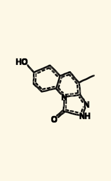 Cc1cc2cc(O)ccc2n2c(=O)[nH]nc12